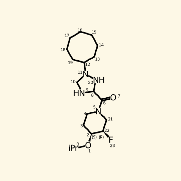 CC(C)O[C@H]1CCN(C(=O)C2NCN(C3CCCCCCC3)N2)C[C@H]1F